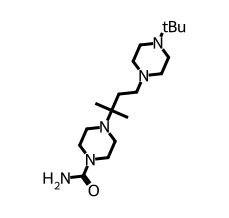 CC(C)(C)N1CCN(CCC(C)(C)N2CCN(C(N)=O)CC2)CC1